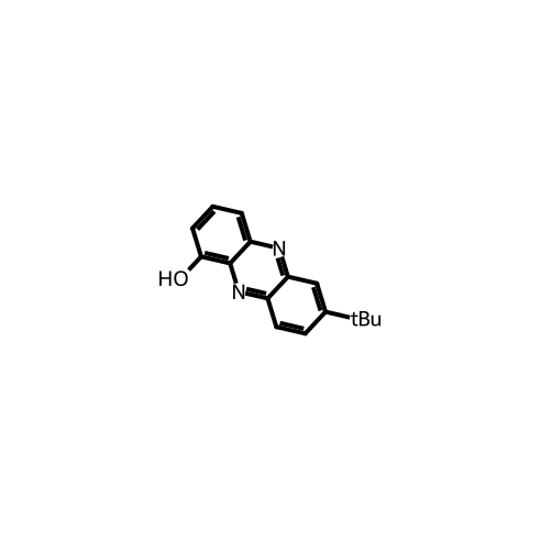 CC(C)(C)c1ccc2nc3c(O)cccc3nc2c1